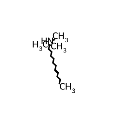 CCCCC=CCCCCCCC(C)(C)NCC